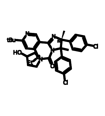 CCOc1cc(C(C)(C)C)ncc1C1=N[C@@](C)(c2ccc(Cl)cc2)C(C)(c2ccc(Cl)cc2)N1C(=O)N1CCC(O)C1